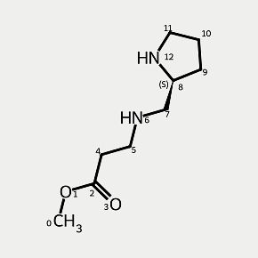 COC(=O)CCNC[C@@H]1CCCN1